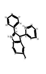 Cc1ccc2c(c1)C(c1ccccn1)C(c1ccccc1)=N2